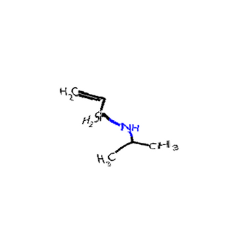 C=C[SiH2]NC(C)C